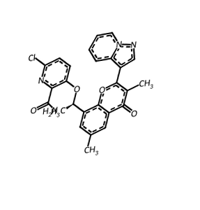 Cc1cc([C@@H](C)Oc2ccc(Cl)nc2C(N)=O)c2oc(-c3cnn4ccccc34)c(C)c(=O)c2c1